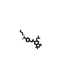 CCCCOC(=O)c1ccc(/C=C(\C)c2cc3c(cc2CC(C)C)C(C)(C)CC3(C)C)cc1